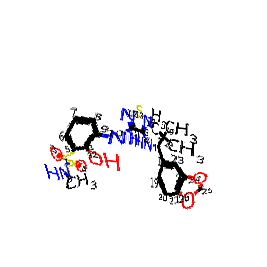 CNS(=O)(=O)c1cccc(Nc2nsnc2N[C@@H](c2ccc3c(c2)OCO3)C(C)(C)C)c1O